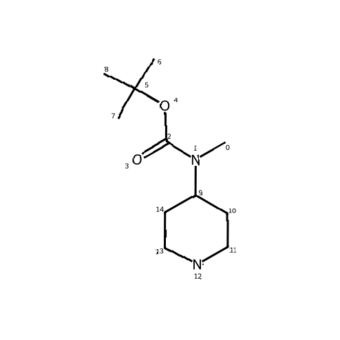 CN(C(=O)OC(C)(C)C)C1CC[N]CC1